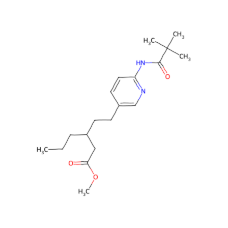 CCCC(CCc1ccc(NC(=O)C(C)(C)C)nc1)CC(=O)OC